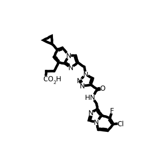 O=C(O)CCc1cc(C2CC2)cn2cc(Cn3cc(C(=O)NCc4ncn5ccc(Cl)c(F)c45)nn3)nc12